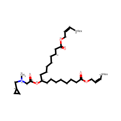 CCCCCC/C=C\COC(=O)CCCCCCCC(CCCCCCCC(=O)OC/C=C\CCCCCC)OC(=O)CN(C)CC1CC1